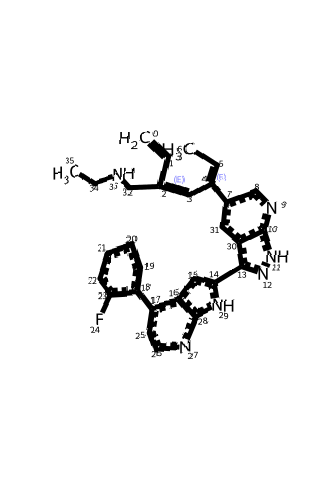 C=C/C(=C\C(=C/C)c1cnc2[nH]nc(-c3cc4c(-c5ccccc5F)ccnc4[nH]3)c2c1)CNCC